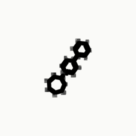 c1ccc(-c2cc[n+](C3CCCCCC3)cc2)cc1